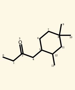 CCC(=O)CC1CCC(C)(C)CC1C